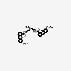 COc1ccc2cc3cccc(C(=O)NCCCN(C)CCCNC(=O)c4cccc5cc6ccc(OC)cc6nc45)c3nc2c1